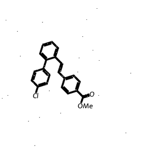 COC(=O)c1ccc(/C=C/c2ccccc2-c2ccc(Cl)cc2)cc1